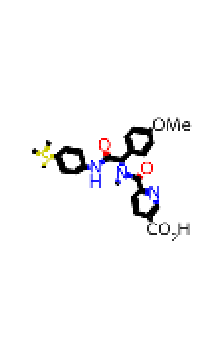 COc1ccc(C(C(=O)Nc2ccc(S(C)(C)C)cc2)N(C)C(=O)c2ccc(C(=O)O)cn2)cc1